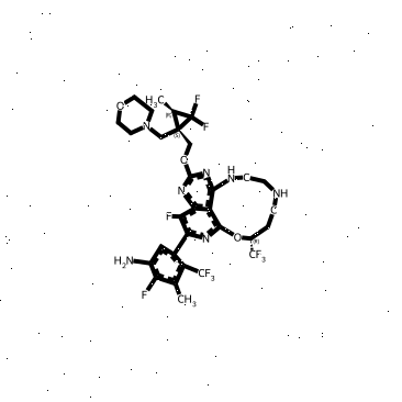 Cc1c(F)c(N)cc(-c2nc3c4c(nc(OC[C@@]5(CN6CCOCC6)[C@@H](C)C5(F)F)nc4c2F)NCCNCC[C@H](C(F)(F)F)O3)c1C(F)(F)F